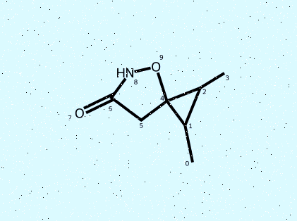 CC1C(C)C12CC(=O)NO2